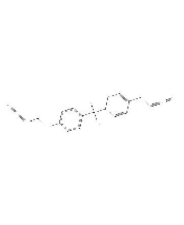 N#CC(N=O)(c1ccc(OCN=[N+]=[N-])cc1)C1C=CC(CN=[N+]=[N-])=CC1